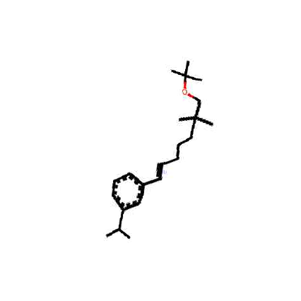 CC(C)c1cccc(/C=C/CCCC(C)(C)COC(C)(C)C)c1